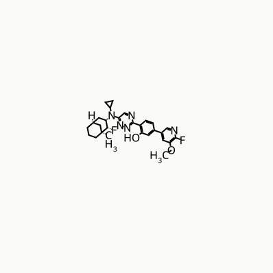 COc1cc(-c2ccc(-c3ncc(N(C4CC4)[C@H]4C[C@@H]5CCC[C@@](C)(C5)[C@H]4F)nn3)c(O)c2)cnc1F